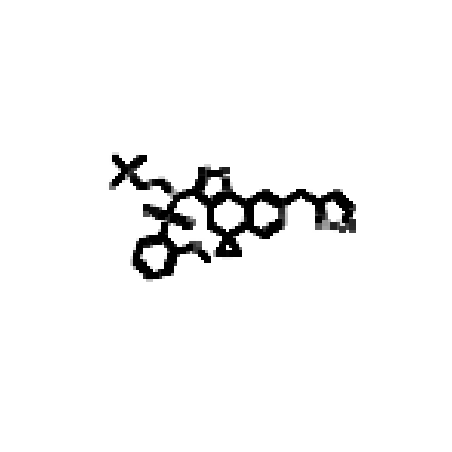 COc1ccccc1S(=O)(=O)N(CC[Si](C)(C)C)c1noc2c1CC1(CC1)c1ccc(Cc3cc[nH]n3)cc1-2